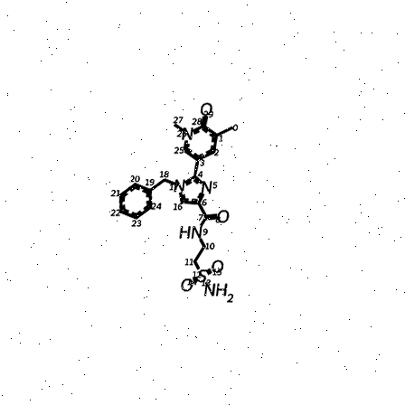 Cc1cc(-c2nc(C(=O)NCCS(N)(=O)=O)cn2Cc2ccccc2)cn(C)c1=O